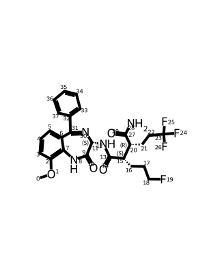 COc1cccc2c1NC(=O)[C@@H](NC(=O)[C@@H](CCCF)[C@@H](CCC(F)(F)F)C(N)=O)N=C2c1ccccc1